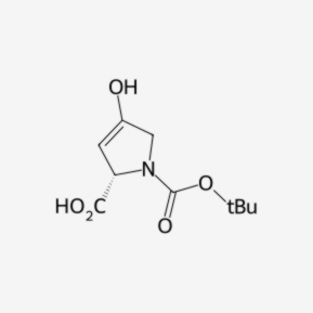 CC(C)(C)OC(=O)N1CC(O)=C[C@H]1C(=O)O